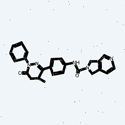 CC1CC(=O)N(c2ccccc2)N=C1c1ccc(NC(=O)N2Cc3ccncc3C2)cc1